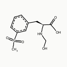 CS(=O)(=O)c1cccc(C[C@H](NCO)C(=O)O)c1